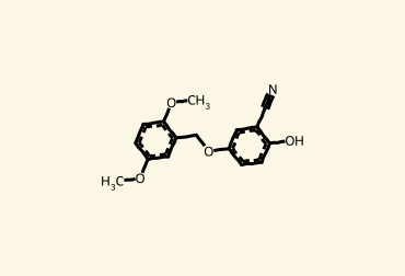 COc1ccc(OC)c(COc2ccc(O)c(C#N)c2)c1